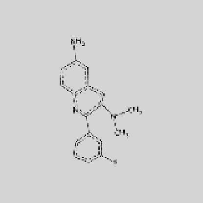 CN(C)c1cc2cc(N)ccc2nc1-c1cccc(F)c1